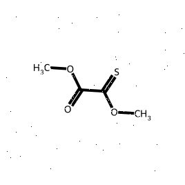 COC(=O)C(=S)OC